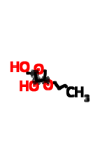 CCCCO[C@@H]1CO[C@H](CO)[C@@H]1O